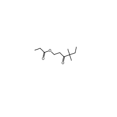 CCC(=O)OCCC(=O)C(C)(C)CC